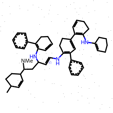 CNC(CC(/C=C/NC1=C(c2ccccc2)C=C(C2=C(NC3=CCCCC3)CCC=C2)CC1)NC1=C(c2ccccc2)CCC=C1)C1C=CC(C)CC1